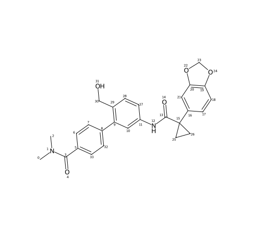 CN(C)C(=O)c1ccc(-c2cc(NC(=O)C3(c4ccc5c(c4)OCO5)CC3)ccc2CO)cc1